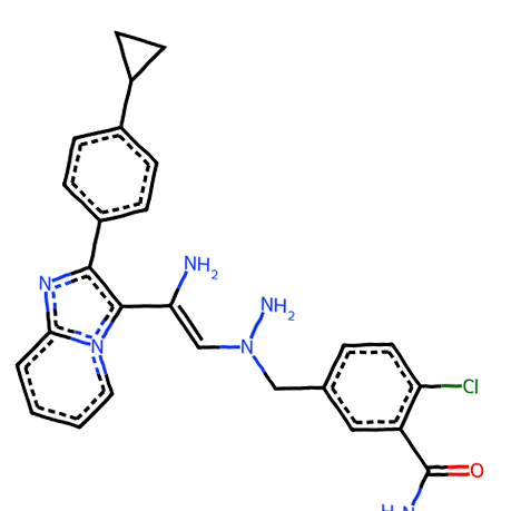 NC(=O)c1cc(CN(N)/C=C(\N)c2c(-c3ccc(C4CC4)cc3)nc3ccccn23)ccc1Cl